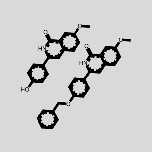 COc1ccc2cc(-c3ccc(O)cc3)[nH]c(=O)c2c1.COc1ccc2cc(-c3ccc(OCc4ccccc4)cc3)[nH]c(=O)c2c1